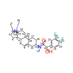 CC1C2CCC3C4CC=C5CC(N(C)C(=O)C(O)c6ccc(F)c(F)c6)CCC5(C)C4CCC32CN1C